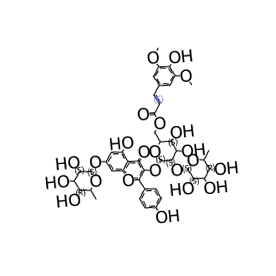 COc1cc(/C=C/C(=O)OCC2O[C@@H](Oc3c(-c4ccc(O)cc4)oc4cc(O[C@@H]5OC(C)[C@H](O)C(O)[C@@H]5O)cc(O)c4c3=O)[C@@H](O[C@@H]3OC(C)[C@H](O)C(O)[C@@H]3O)C(O)[C@@H]2O)cc(OC)c1O